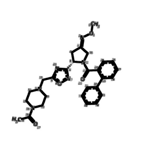 CON=C1C[C@@H](c2noc(CN3CCN(C(C)=O)CC3)n2)N(C(=O)c2ccccc2-c2ccccc2)C1